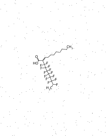 CCCCCCCCC=C(C(=O)O)C(F)(F)C(F)(F)C(F)(F)C(F)(F)C(F)(F)C(F)(F)C(C)F